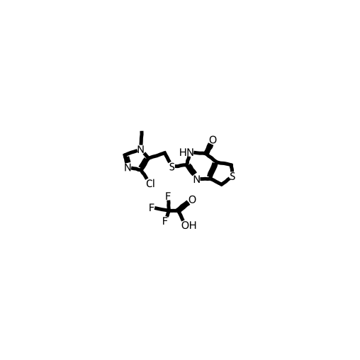 Cn1cnc(Cl)c1CSc1nc2c(c(=O)[nH]1)CSC2.O=C(O)C(F)(F)F